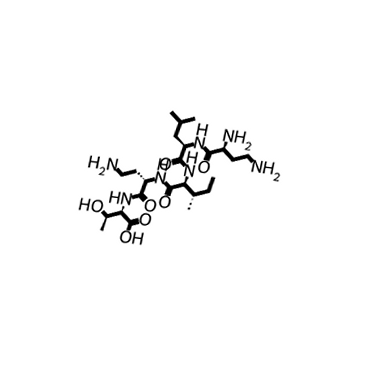 CC[C@H](C)[C@H](NC(=O)[C@@H](CC(C)C)NC(=O)[C@@H](N)CCN)C(=O)N[C@@H](CCN)C(=O)N[C@H](C(=O)O)[C@@H](C)O